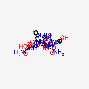 CC(C)[C@H](NC(=O)[C@H](CCC(N)=O)NC(=O)[C@H](Cc1ccc(O)cc1)NC(=O)CNC(=O)[C@@H]1CCCN1)C(=O)N[C@@H](Cc1c[nH]cn1)C(=O)N[C@@H](Cc1c[nH]c2ccccc12)C(=O)N1CCC[C@H]1C(=O)N[C@@H](CCC(N)=O)C(=O)O